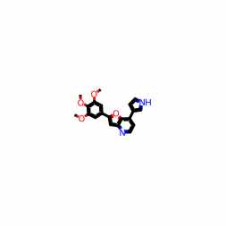 COc1cc(-c2cc3nccc(-c4cc[nH]c4)c3o2)cc(OC)c1OC